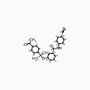 CC(=O)c1ccc(C(C)(C)Oc2cccc(C(=O)Nc3ccc(C#N)cc3)c2)cc1